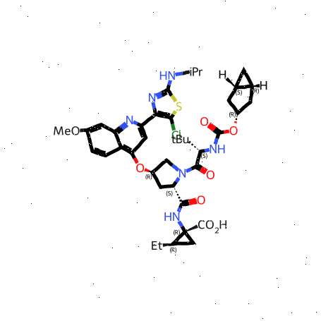 CC[C@@H]1C[C@]1(NC(=O)[C@@H]1C[C@@H](Oc2cc(-c3nc(NC(C)C)sc3Cl)nc3cc(OC)ccc23)CN1C(=O)[C@@H](NC(=O)O[C@@H]1C[C@@H]2C[C@@H]2C1)C(C)(C)C)C(=O)O